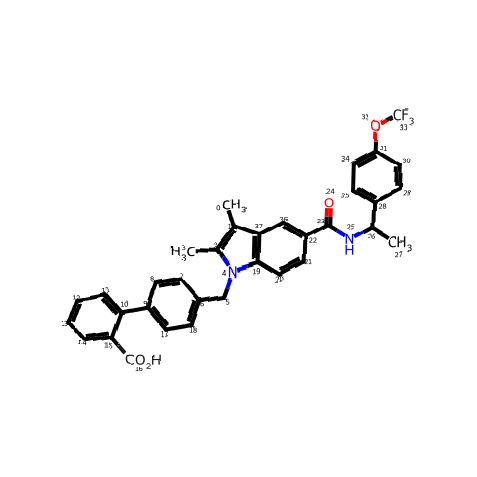 Cc1c(C)n(Cc2ccc(-c3ccccc3C(=O)O)cc2)c2ccc(C(=O)NC(C)c3ccc(OC(F)(F)F)cc3)cc12